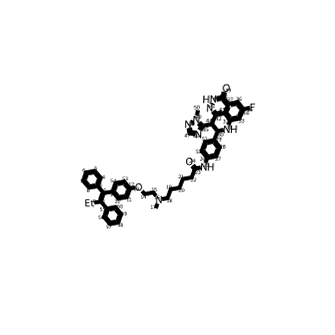 CC/C(=C(\c1ccccc1)c1ccc(OCCN(C)CCCCCC(=O)Nc2ccc(C3Nc4cc(F)cc5c(=O)[nH]nc(c45)C3c3ncnn3C)cc2)cc1)c1ccccc1